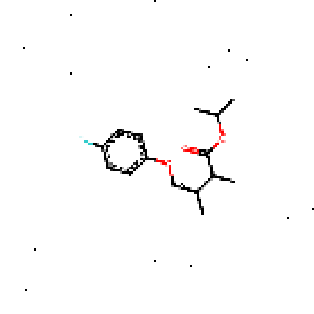 CC(C)OC(=O)C(C)C(C)COc1ccc(F)cc1